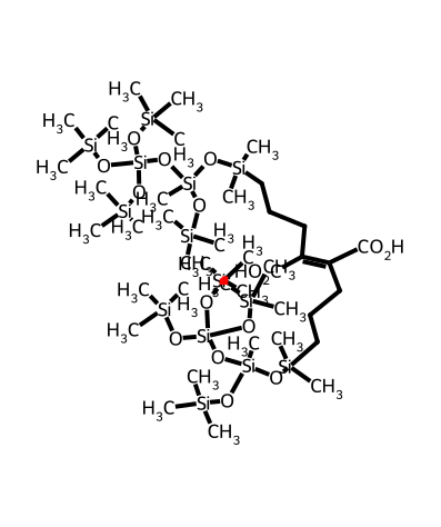 C[Si](C)(C)O[Si](C)(O[Si](C)(C)CCC/C(C(=O)O)=C(/CCC[Si](C)(C)O[Si](C)(O[Si](C)(C)C)O[Si](O[Si](C)(C)C)(O[Si](C)(C)C)O[Si](C)(C)C)C(=O)O)O[Si](O[Si](C)(C)C)(O[Si](C)(C)C)O[Si](C)(C)C